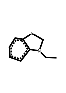 CCN1CSc2ccccc21